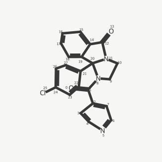 O=C(c1ccncc1)N1CCN2C(=O)c3ccccc3C12c1ccc(Cl)cc1